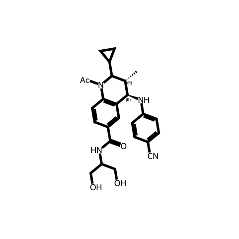 CC(=O)N1c2ccc(C(=O)NC(CO)CO)cc2[C@H](Nc2ccc(C#N)cc2)[C@@H](C)C1C1CC1